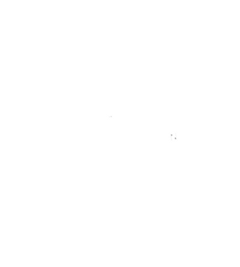 C=C(CC)CC1CCN(C)CCC1C